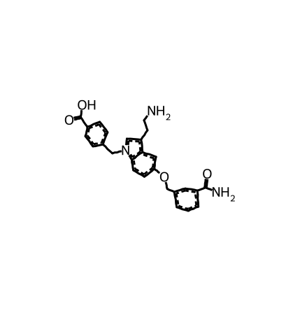 NCCc1cn(Cc2ccc(C(=O)O)cc2)c2ccc(OCc3cccc(C(N)=O)c3)cc12